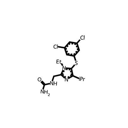 CCn1c(CNC(N)=O)nc(C(C)C)c1Sc1cc(Cl)cc(Cl)c1